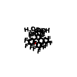 Cc1[nH]c2c(-c3c(F)c(F)c(F)c(F)c3F)c(-c3c(F)c(F)c(F)c(F)c3F)c(-c3c(F)c(F)c(F)c(F)c3F)c(OB(O)O)c2c1C